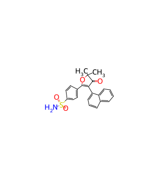 CC1(C)OC(c2ccc(S(N)(=O)=O)cc2)=C(c2cccc3ccccc23)C1=O